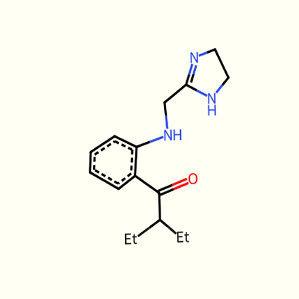 CCC(CC)C(=O)c1ccccc1NCC1=NCCN1